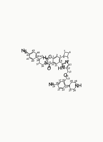 Cc1cc(C2CCC2)c(-c2ncc(COCc3cc(C#N)ccc3C3CCNCC3)[nH]2)cc1C(=O)N1CCC(c2ccc(C#N)cc2)CC1